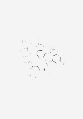 CC(C1NCc2c1ccc(O)c2-c1noc2cc(F)ccc12)N1CCCCC1.O.O=C(O)/C=C/C(=O)O